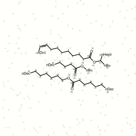 CCCCCCCC/C=C\CCCCCCCC(=O)OC(CCCC)CCCCCCC.CCCCCCCCCCCCCC(=O)OCCCC.CCCCCCCCCCCCCCCCOC(=O)CCCCCCCCCCCCCCC